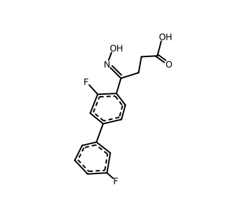 O=C(O)CCC(=NO)c1ccc(-c2cccc(F)c2)cc1F